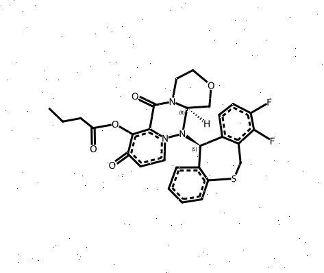 CCCC(=O)Oc1c2n(ccc1=O)N([C@@H]1c3ccccc3SCc3c1ccc(F)c3F)[C@@H]1COCCN1C2=O